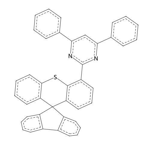 c1ccc(-c2cc(-c3ccccc3)nc(-c3cccc4c3Sc3ccccc3C43c4ccccc4-c4ccccc43)n2)cc1